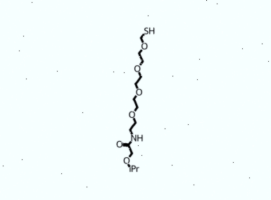 CC(C)OCC(=O)NCCOCCOCCOCCOCS